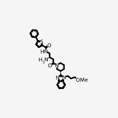 COCCCn1c([C@@H]2CCCN(C(=O)C[C@H](N)CNC(=O)c3ccc(-c4ccccc4)s3)C2)nc2ccccc21